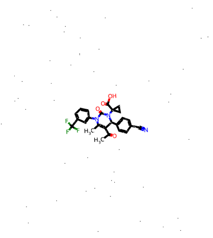 CC(=O)C1=C(C)N(c2cccc(C(F)(F)F)c2)C(=O)N(C2(C(=O)O)CC2)C1c1ccc(C#N)cc1